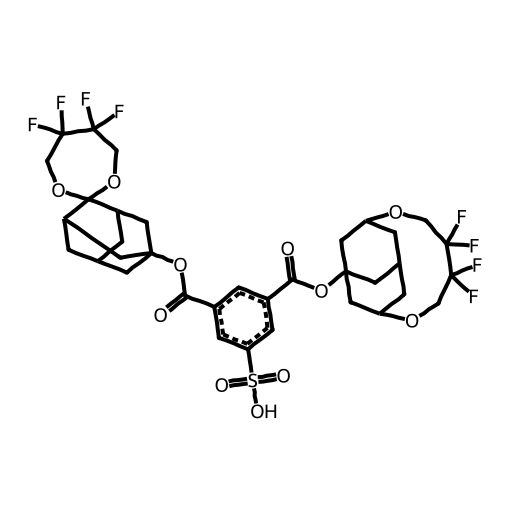 O=C(OC12CC3CC(C1)OCC(F)(F)C(F)(F)COC(C3)C2)c1cc(C(=O)OC23CC4CC(C2)C2(OCC(F)(F)C(F)(F)CO2)C(C4)C3)cc(S(=O)(=O)O)c1